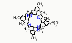 Cc1cc(C)c(-c2c3nc(c(-c4c(C)cc(C)cc4C)c4ccc([nH]4)c(-c4c(C)cc(C)cc4C)c4nc(c(-c5c(C)cc(C)cc5C)c5ccc2[nH]5)C=C4)C=C3)c(C)c1.[Mg]